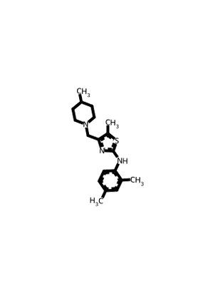 Cc1ccc(Nc2nc(CN3CCC(C)CC3)c(C)s2)c(C)c1